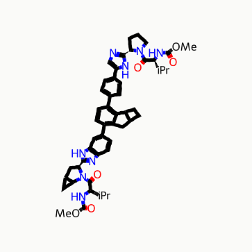 COC(=O)NC(C(=O)N1C2CC2C[C@H]1c1nc2ccc(-c3ccc(-c4ccc(-c5cnc([C@@H]6CCCN6C(=O)[C@@H](NC(=O)OC)C(C)C)[nH]5)cc4)c4c3CC3CCC43)cc2[nH]1)C(C)C